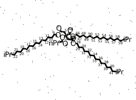 CCCC(=O)OC(CC(=O)OCCCCCCCCCCCCCCC(C)C)(CC(=O)OCCCCCCCCCCCCCCC(C)C)C(=O)OCCCCCCCCCCCCCCC(C)C